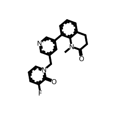 CN1C(=O)CCc2cccc(-c3cncc(Cn4cccc(F)c4=O)c3)c21